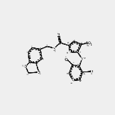 O=C(NCc1ccc2c(c1)OCO2)c1cc([N+](=O)[O-])c(Sc2c(Cl)cncc2Cl)s1